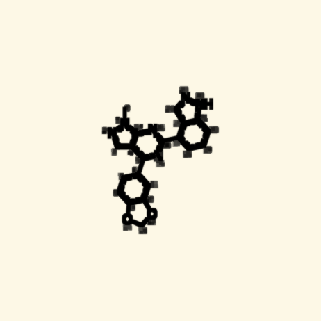 Cn1ncc2c(-c3ccc4c(c3)OCO4)nc(-c3cccc4[nH]ncc34)nc21